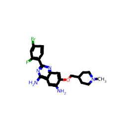 CN1CCC(COc2cc3nc(-c4ccc(Br)cc4F)nc(N)c3cc2N)CC1